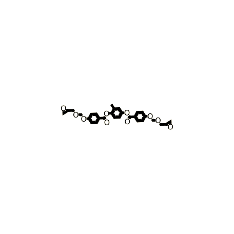 Cc1cc(OC(=O)c2ccc(OCOCC3CO3)cc2)ccc1OC(=O)c1ccc(OCOCC2CO2)cc1